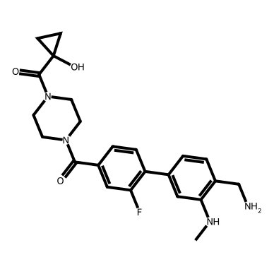 CNc1cc(-c2ccc(C(=O)N3CCN(C(=O)C4(O)CC4)CC3)cc2F)ccc1CN